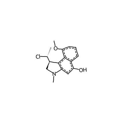 COc1cccc2c(O)cc3c(c12)[C@H]([C@@H](C)Cl)CN3C